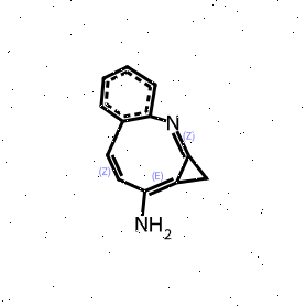 NC1=C2\C\C2=N\c2ccccc2/C=C\1